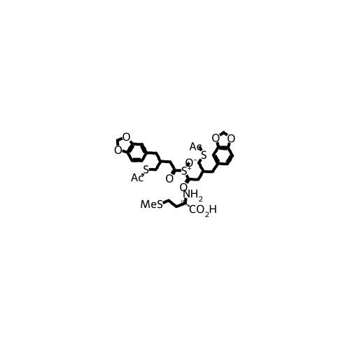 CC(=O)SCC(CC(=O)[S+]([O-])C(=O)CC(CSC(C)=O)Cc1ccc2c(c1)OCO2)Cc1ccc2c(c1)OCO2.CSCC[C@H](N)C(=O)O